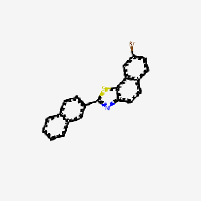 Brc1ccc2ccc3nc(-c4ccc5ccccc5c4)sc3c2c1